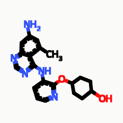 Cc1cc(N)cc2ncnc(Nc3cccnc3OC3CCC(O)CC3)c12